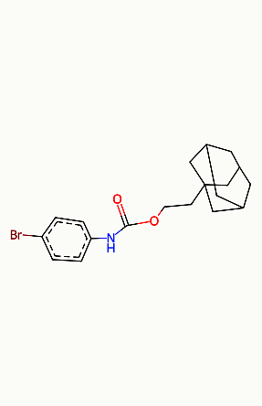 O=C(Nc1ccc(Br)cc1)OCCC12CC3CC(CC(C3)C1)C2